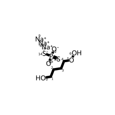 OCCCCOO.[Na+].[Na+].[Na+].[O-]P([O-])(=S)[S-]